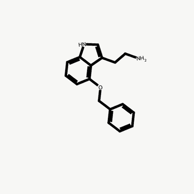 NCCc1c[nH]c2cccc(OCc3ccccc3)c12